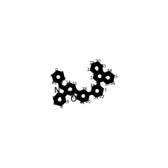 c1ccc(-c2nc3ccccc3c3c2ccc2c4cc(-c5cccc(-c6cc7ccccc7c7ccccc67)c5)ccc4oc23)cc1